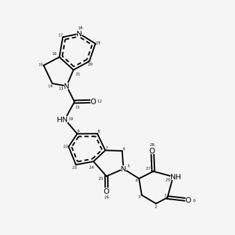 O=C1CCC(N2Cc3cc(NC(=O)N4CCc5cnccc54)ccc3C2=O)C(=O)N1